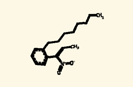 CC=C(c1ccccc1CCCCCCCC)[N+](=O)[O-]